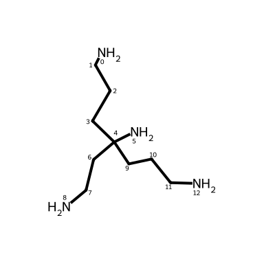 NCCCC(N)(CCN)CCCN